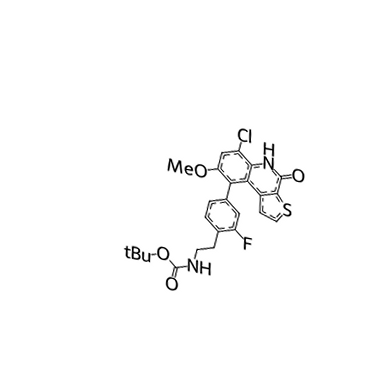 COc1cc(Cl)c2[nH]c(=O)c3sccc3c2c1-c1ccc(CCNC(=O)OC(C)(C)C)c(F)c1